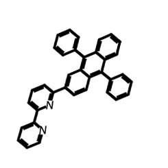 c1ccc(-c2c3ccccc3c(-c3ccccc3)c3cc(-c4cccc(-c5ccccn5)n4)ccc23)cc1